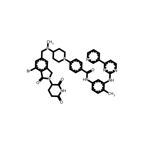 Cc1ccc(NC(=O)c2ccc(N3CCC(N(C)Cc4cc(Br)c5c(c4)CN(C4CCC(=O)NC4=O)C5=O)CC3)cc2)cc1Nc1nccc(-c2cccnc2)n1